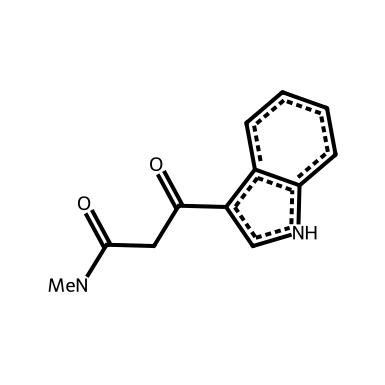 CNC(=O)CC(=O)c1c[nH]c2ccccc12